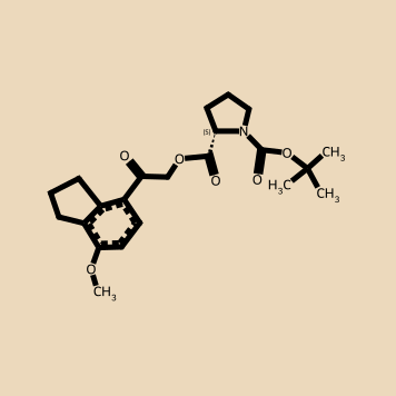 COc1ccc(C(=O)COC(=O)[C@@H]2CCCN2C(=O)OC(C)(C)C)c2c1CCC2